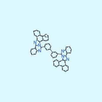 c1cc(-c2cccc(-c3nc4ccccc4c4nc5c6ccccc6c6ccccc6c5n34)c2)cc(-c2nc3ccccc3c3nc4c5ccccc5c5ccccc5c4n23)c1